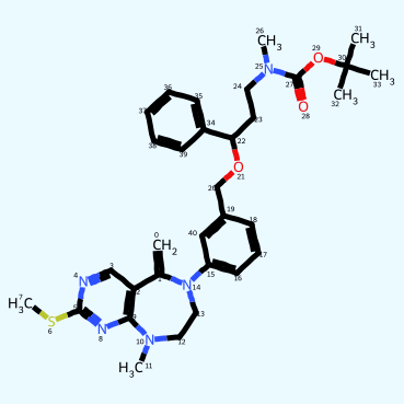 C=C1c2cnc(SC)nc2N(C)CCN1c1cccc(COC(CCN(C)C(=O)OC(C)(C)C)c2ccccc2)c1